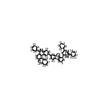 c1ccc(-c2cc(-c3cccc4c3oc3cc(-c5ccc6nc(-c7ccccc7)c7ccc8sc9ccccc9c8c7c6c5)ccc34)nc(-c3ccccc3)n2)cc1